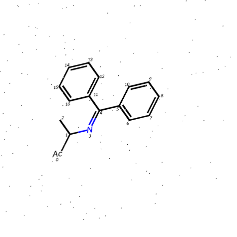 CC(=O)C(C)N=C(c1ccccc1)c1ccccc1